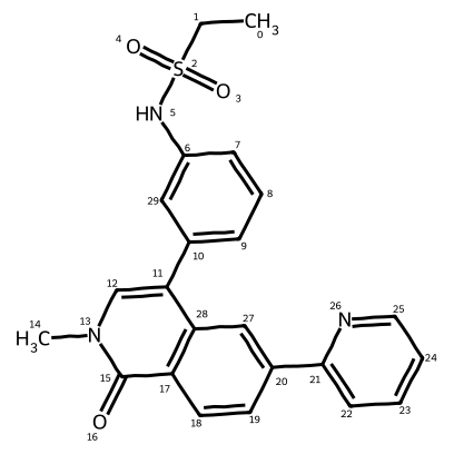 CCS(=O)(=O)Nc1cccc(-c2cn(C)c(=O)c3ccc(-c4ccccn4)cc23)c1